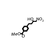 COC(=O)c1ccc(CCC(O)C[N+](=O)[O-])cc1